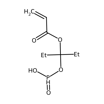 C=CC(=O)OC(CC)(CC)O[PH](=O)O